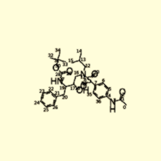 CC(=O)Nc1ccc(S(=O)(=O)N(CC(C)C)CC(O)C(Cc2ccccc2)NC(=O)OC(C)(C)C)cc1